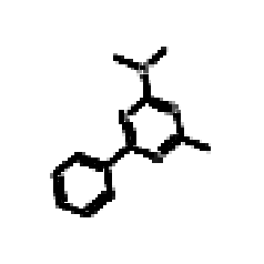 Cc1nc(-c2ccccc2)nc(N(C)C)n1